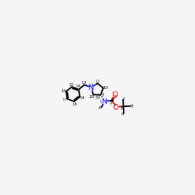 CN(C(=O)OC(C)(C)C)[C@H]1CCN(Cc2ccccc2)C1